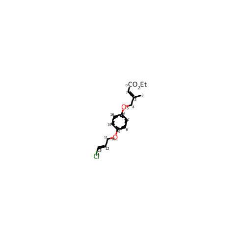 CCOC(=O)C=C(C)COc1ccc(OCC=CCl)cc1